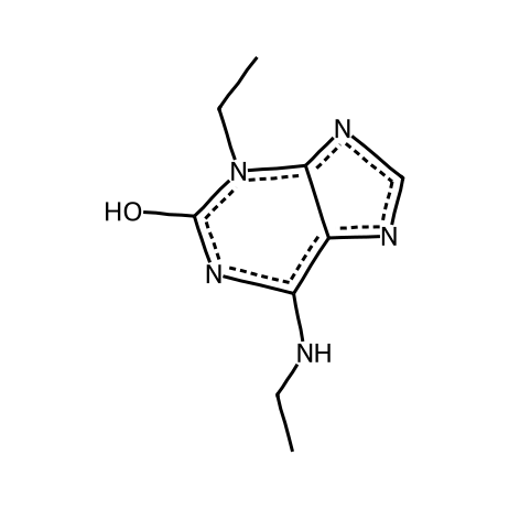 CCNc1nc(O)n(CC)c2ncnc1-2